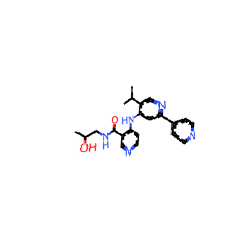 CC(O)CNC(=O)c1cnccc1Nc1cc(-c2ccncc2)ncc1C(C)C